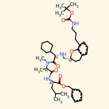 CC(C)C[C@@H](NC(=O)[C@@H](C)N(C)C(=O)[C@@H](NC[C@H]1CCc2cccc(CCCNC(=O)OC(C)(C)C)c2O1)C1CCCCC1)C(=O)OCc1ccccc1